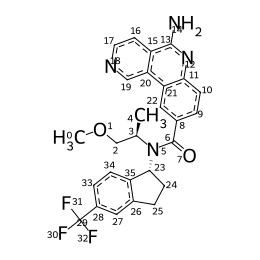 COC[C@@H](C)N(C(=O)c1ccc2nc(N)c3ccncc3c2c1)[C@@H]1CCc2cc(C(F)(F)F)ccc21